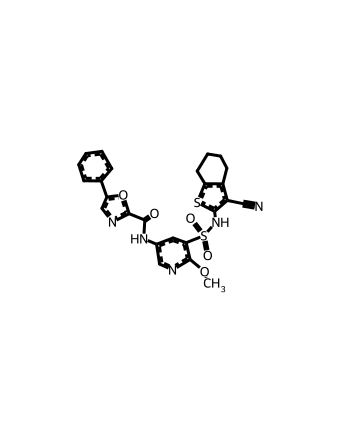 COc1ncc(NC(=O)c2ncc(-c3ccccc3)o2)cc1S(=O)(=O)Nc1sc2c(c1C#N)CCCC2